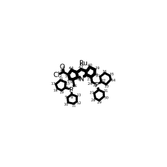 O=C(Cl)c1cc(CP(C2CCCCC2)C2CCCCC2)c2nc3c(CP(C4CCCCC4)C4CCCCC4)cccc3cc2c1.[Ru]